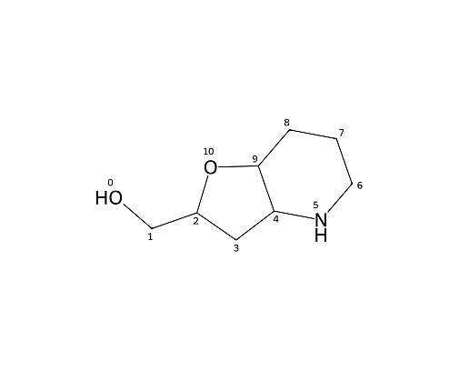 OCC1CC2NCCCC2O1